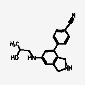 CC(O)CNc1cc2c(c(-c3ccc(C#N)cc3)c1)CNC2